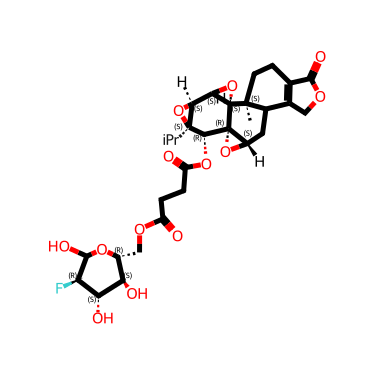 CC(C)[C@]12O[C@H]1[C@@H]1O[C@]13[C@]1(O[C@H]1CC1C4=C(CC[C@@]13C)C(=O)OC4)[C@@H]2OC(=O)CCC(=O)OC[C@H]1OC(O)[C@H](F)[C@@H](O)[C@@H]1O